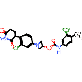 Cc1ccc(NC(=O)OC2CN(c3ccc(C4CCC(=O)NC4=O)c(Cl)c3)C2)cc1Cl